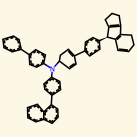 C1=CC2=C(CC1)C1=C(CCC1)[C@@H]2c1ccc(C2=CCC(N(c3ccc(-c4ccccc4)cc3)c3ccc(-c4cccc5ccccc45)cc3)C=C2)cc1